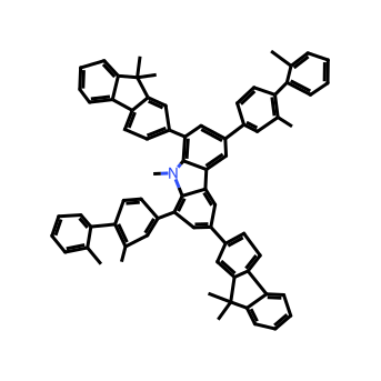 Cc1ccccc1-c1ccc(-c2cc(-c3ccc4c(c3)C(C)(C)c3ccccc3-4)c3c(c2)c2cc(-c4ccc5c(c4)C(C)(C)c4ccccc4-5)cc(-c4ccc(-c5ccccc5C)c(C)c4)c2n3C)cc1C